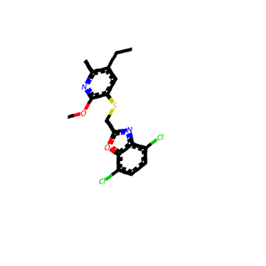 CCc1cc(SCc2nc3c(Cl)ccc(Cl)c3o2)c(OC)nc1C